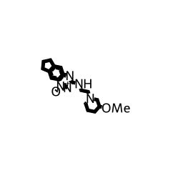 COC1CCCN(CCNc2nc3cc4c(cc3[n+]([O-])n2)CCC4)C1